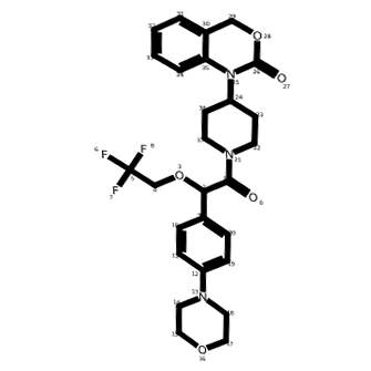 O=C(C(OCC(F)(F)F)c1ccc(N2CCOCC2)cc1)N1CCC(N2C(=O)OCc3ccccc32)CC1